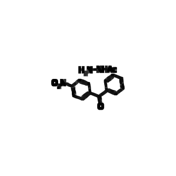 CC(=O)NN.O=C(c1ccccc1)c1ccc([N+](=O)[O-])cc1